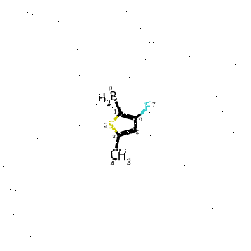 Bc1sc(C)cc1F